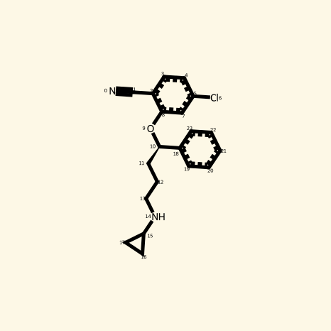 N#Cc1ccc(Cl)cc1O[C@H](CCCNC1CC1)c1ccccc1